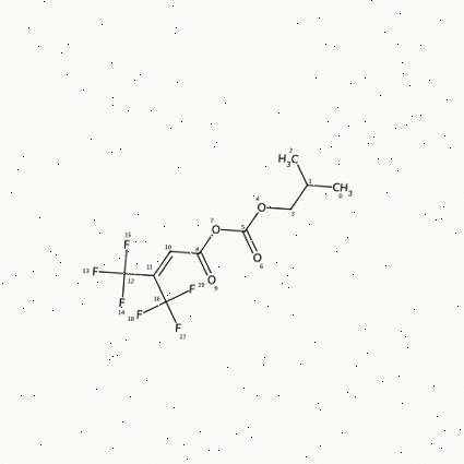 CC(C)COC(=O)OC(=O)C=C(C(F)(F)F)C(F)(F)F